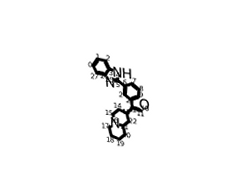 c1ccc2[nH]c(-c3ccc4occ(C5CCN6CCCCC6C5)c4c3)nc2c1